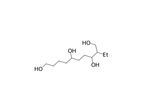 CCC(CO)C(O)CCC(O)CCCCO